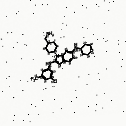 NC[C@H]1CC[C@H](n2c(Nc3cc(Cl)cc(C(F)(F)F)c3)nc3cnc(NC4CCOCC4)nc32)CC1